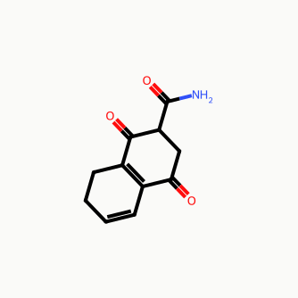 NC(=O)C1CC(=O)C2=C(CCC=C2)C1=O